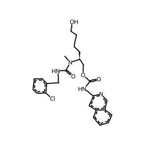 CN(C(=O)NCc1ccccc1Cl)[C@@H](CCCCO)COC(=O)Nc1cc2ccccc2cn1